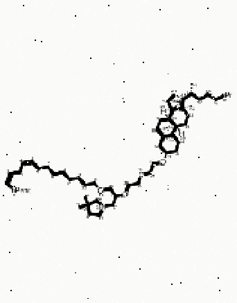 CCCCC/C=C\C/C=C\CCCCCCCCOCC(CN1CCC(C)(C)C1)OCCOCCO[C@H]1CC[C@@]2(C)C(=CC[C@H]3[C@@H]4CC[C@H]([C@H](C)CCCC(C)C)[C@@]4(C)CC[C@@H]32)C1